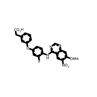 COc1cc2ncnc(Nc3ccc(Oc4cccc(CC(=O)O)c4)cc3F)c2cc1[N+](=O)[O-]